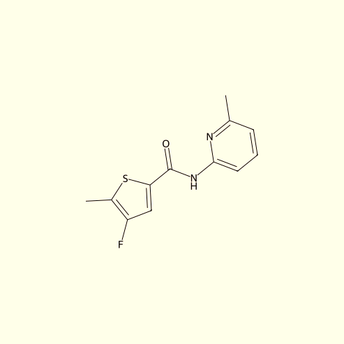 Cc1cccc(NC(=O)c2cc(F)c(C)s2)n1